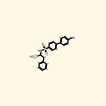 CC(C)c1ccc(-c2ccc(S(=O)(=O)NC(Cc3ccccc3)C(=O)O)cc2)cc1